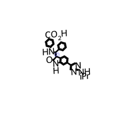 CC(C)Nc1ncc(-c2ccc3c(c2)NC(=O)/C3=C(\Nc2ccc(C(=O)O)cc2)c2ccccc2)cn1